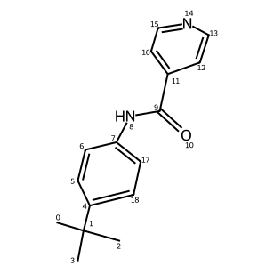 CC(C)(C)c1ccc(NC(=O)c2ccncc2)cc1